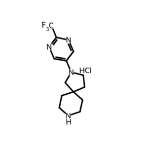 Cl.FC(F)(F)c1ncc(N2CCC3(CCNCC3)C2)cn1